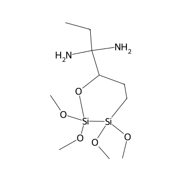 CCC(N)(N)C1CC[Si](OC)(OC)[Si](OC)(OC)O1